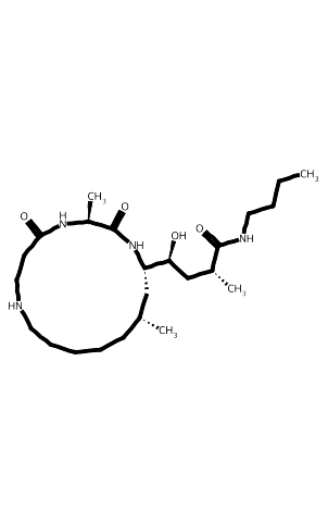 CCCCNC(=O)[C@H](C)C[C@H](O)[C@@H]1C[C@H](C)CCCCCNCCC(=O)N[C@@H](C)C(=O)N1